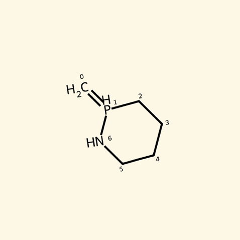 C=[PH]1CCCCN1